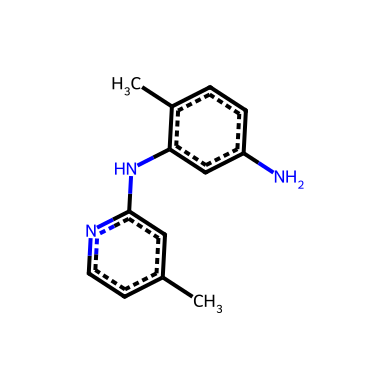 Cc1ccnc(Nc2cc(N)ccc2C)c1